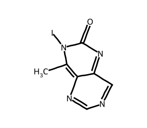 Cc1c2ncncc2nc(=O)n1I